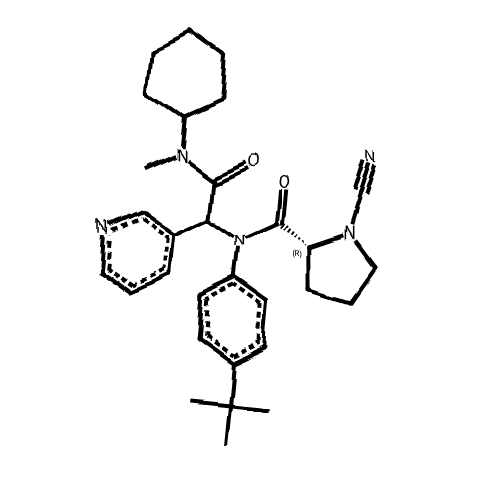 CN(C(=O)C(c1cccnc1)N(C(=O)[C@H]1CCCN1C#N)c1ccc(C(C)(C)C)cc1)C1CCCCC1